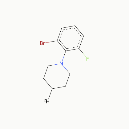 [2H]C1CCN(c2c(F)cccc2Br)CC1